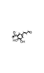 O=CC=Cc1cc(O)c(O)c([N+](=O)[O-])c1